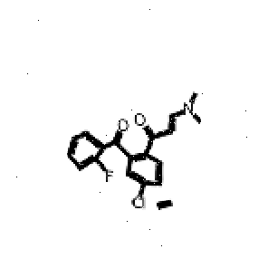 C=C.CN(C)C=CC(=O)c1ccc(Cl)cc1C(=O)c1ccccc1F